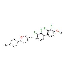 CCCC1CCC(C2CCC(CCc3ccc(-c4ccc(OCC)c(F)c4F)c(F)c3F)CO2)CC1